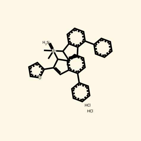 CC1=Cc2c(-c3ccccc3)cccc2[CH]1[Zr]([CH3])([CH3])(=[SiH2])[CH]1C(c2ccco2)=Cc2c(-c3ccccc3)cccc21.Cl.Cl